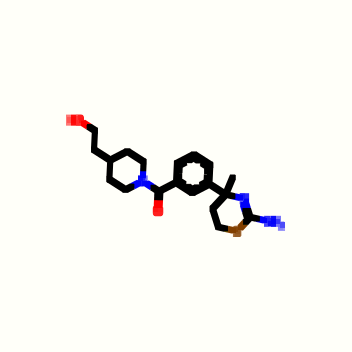 CC1(c2cccc(C(=O)N3CCC(CCO)CC3)c2)CCSC(N)=N1